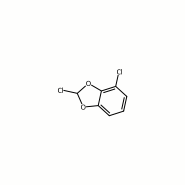 Clc1cccc2c1OC(Cl)O2